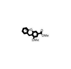 COC(=O)c1cc(OC)c(Cc2ccccc2)c(OC)c1